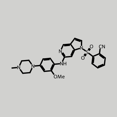 COc1cc(N2CCN(C)CC2)ccc1Nc1cc2c(ccn2S(=O)(=O)c2ccccc2C#N)cn1